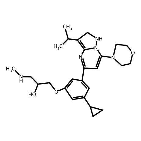 CNCC(O)COc1cc(C2=NC3=C(C(C)C)CNN3C(N3CCOCC3)=C2)cc(C2CC2)c1